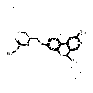 CC(C)C[C@@H](COc1ccc2c(c1)OC(C)c1cnc(N)cc1-2)NC(=O)OC(C)(C)C